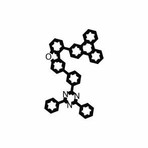 c1ccc(-c2nc(-c3ccccc3)nc(-c3cccc(-c4ccc5oc6cccc(-c7ccc8c9ccccc9c9ccccc9c8c7)c6c5c4)c3)n2)cc1